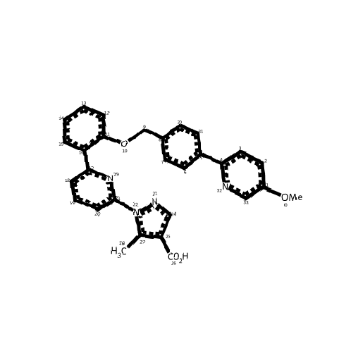 COc1ccc(-c2ccc(COc3ccccc3-c3cccc(-n4ncc(C(=O)O)c4C)n3)cc2)nc1